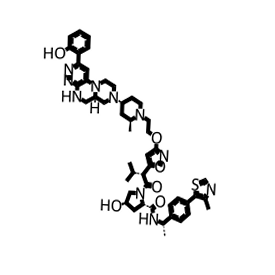 Cc1ncsc1-c1ccc([C@H](C)NC(=O)[C@@H]2C[C@@H](O)CN2C(=O)[C@@H](c2cc(OCCN3CC[C@@H](N4CCN5c6cc(-c7ccccc7O)nnc6NC[C@@H]5C4)C[C@@H]3C)no2)C(C)C)cc1